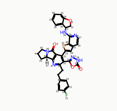 O=C1c2c(nc(CCc3ccc(F)cc3)c(-c3n[nH]c(=O)o3)c2-c2cc3ccnc(N[C@@H]4COc5ccccc54)c3s2)[C@@H]2CCCN12